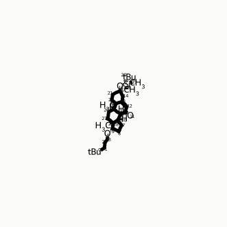 CC(C)(C)CCCO[C@H]1CC[C@H]2[C@@H]3C(=O)C=C4C[C@@H](O[Si](C)(C)C(C)(C)C)CC[C@]4(C)[C@H]3CC[C@]12C